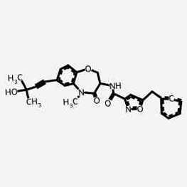 CN1C(=O)C(NC(=O)c2cc(Cc3ccccc3)on2)COc2ccc(C#CC(C)(C)O)cc21